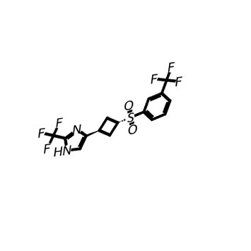 O=S(=O)(c1cccc(C(F)(F)F)c1)[C@H]1C[C@H](c2c[nH]c(C(F)(F)F)n2)C1